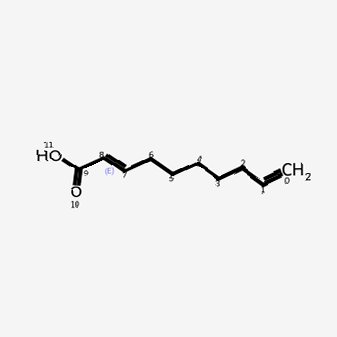 C=CCCCCC/C=C/C(=O)O